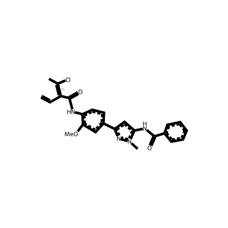 C=C/C(C(=O)Nc1ccc(-c2cc(NC(=O)c3ccccc3)n(C)n2)cc1OC)=C(\C)Cl